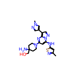 Cc1cc(Nc2cc(N3CCC(N)(CO)CC3)nc3c(-c4cnn(C)c4)cnn23)sn1